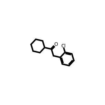 O=C(Cc1ccccc1Cl)C1CCCCC1